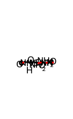 NC(CSSCC(N)C(=O)NCCCN1CCOCC1)C(=O)NCCCN1CCOCC1